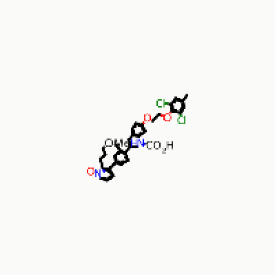 COCCCc1c(-c2ccc(C(CNC(=O)O)Cc3ccc(OCCOc4c(Cl)cc(C)cc4Cl)cc3)c(C)c2)ccc[n+]1[O-]